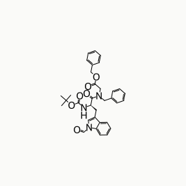 CC(C)(C)OC(=O)N[C@H](Cc1cn(C=O)c2ccccc12)C(=O)N(CC(=O)OCc1ccccc1)Cc1ccccc1